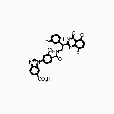 O=C(O)c1ccc2ncn(-c3ccc(C(=O)NC[C@@H](c4cccc(F)c4)c4nc5c(F)ccc(Cl)c5c(=O)[nH]4)c(Cl)c3)c2c1